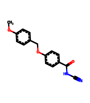 COc1ccc(COc2ccc(C(=O)NC#N)cc2)cc1